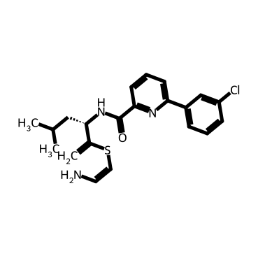 C=C(S/C=C\N)[C@H](CC(C)C)NC(=O)c1cccc(-c2cccc(Cl)c2)n1